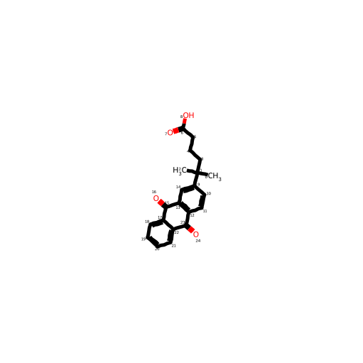 CC(C)(CCCC(=O)O)c1ccc2c(c1)C(=O)c1ccccc1C2=O